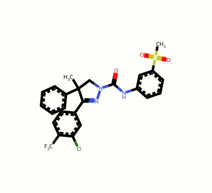 CC1(c2ccccc2)CN(C(=O)Nc2cccc(S(C)(=O)=O)c2)N=C1c1ccc(C(F)(F)F)c(Cl)c1